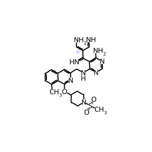 Cc1cccc2cc(CNc3ncnc(N)c3C(=N)/C(C=N)=C/N)nc(OC3CCN(S(C)(=O)=O)CC3)c12